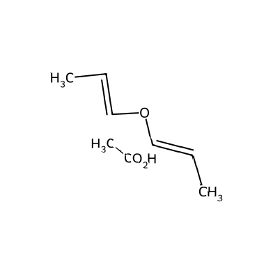 CC(=O)O.CC=COC=CC